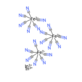 N#[C][Fe-2]([C]#N)([C]#N)([C]#N)([C]#N)[C]#N.N#[C][Fe-2]([C]#N)([C]#N)([C]#N)([C]#N)[C]#N.N#[C][Fe-2]([C]#N)([C]#N)([C]#N)([C]#N)[C]#N.[In+3].[In+3]